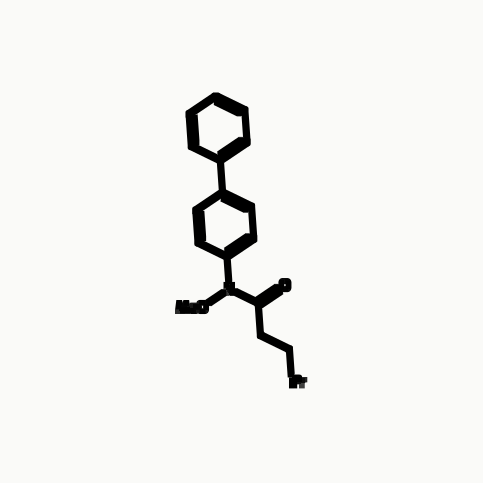 CON(C(=O)CCC(C)C)c1ccc(-c2ccccc2)cc1